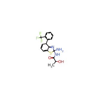 CC(O)C(=O)NC1(N)N=C2[C](c3ccccc3C(F)(F)F)C=CC=C2S1